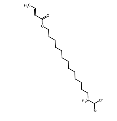 CC=CC(=O)OCCCCCCCCCCCCC[SiH2]C(Br)Br